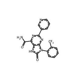 NC(=O)c1nc(-c2cccnc2)nc2c1[nH]c(=O)n2-c1ccccc1C(F)(F)F